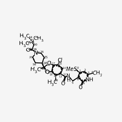 CSc1cc(C)[nH]c(=O)c1CNC(=O)c1cc(Cl)c2c(c1C)O[C@](C)(C1CCN(C(=O)C[Si](C)(C)C)CC1)O2